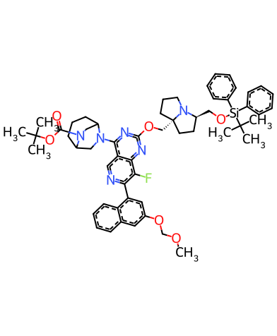 COCOc1cc(-c2ncc3c(N4CC5CCCC4CN5C(=O)OC(C)(C)C)nc(OC[C@]45CCCN4[C@@H](CO[Si](c4ccccc4)(c4ccccc4)C(C)(C)C)CC5)nc3c2F)c2ccccc2c1